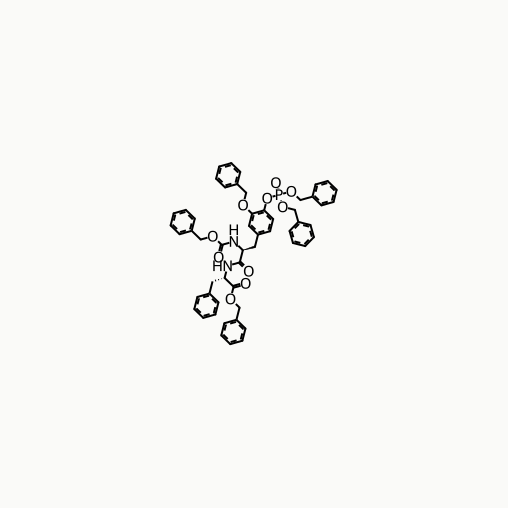 O=C(N[C@@H](Cc1ccc(OP(=O)(OCc2ccccc2)OCc2ccccc2)c(OCc2ccccc2)c1)C(=O)N[C@@H](Cc1ccccc1)C(=O)OCc1ccccc1)OCc1ccccc1